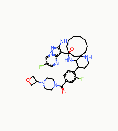 Nc1nn2cc(F)cnc2c1C(=O)NC1C(c2ccc(C(=O)N3CCN(C4COC4)CC3)cc2F)CCNC12CCCCCCCCC2